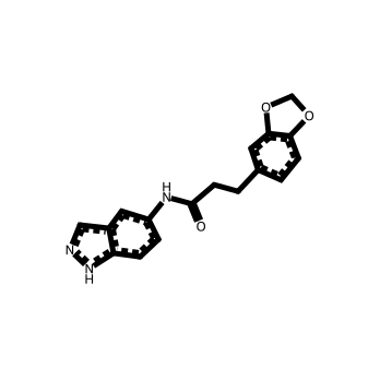 O=C(CCc1ccc2c(c1)OCO2)Nc1ccc2[nH]ncc2c1